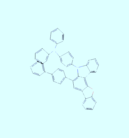 c1ccc(-c2ccc(-c3cc4c5ccccc5oc4c4c5ccccc5n(-c5ccc(N(c6ccccc6)c6ccccc6)cc5)c34)cc2)cc1